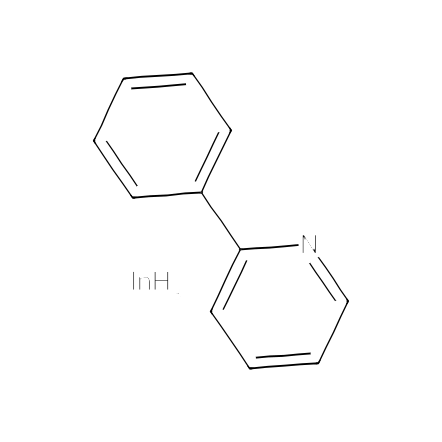 [InH3].c1ccc(-c2ccccn2)cc1